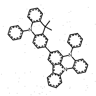 CC1(C)c2ccccc2N(c2ccccc2)c2ccc(-c3cc4c5c(c3)c3ccccc3n5-c3ccccc3N4c3ccccc3)cc21